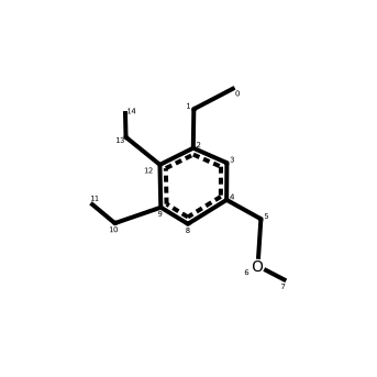 CCc1cc(COC)cc(CC)c1CC